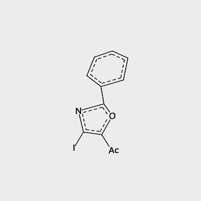 CC(=O)c1oc(-c2ccccc2)nc1I